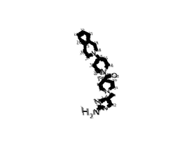 Nc1ncc(CN2CCC(F)(C(=O)N3CCC(N4CCc5ccccc5CC4)CC3)CC2)cn1